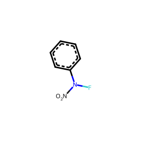 O=[N+]([O-])N(F)c1ccccc1